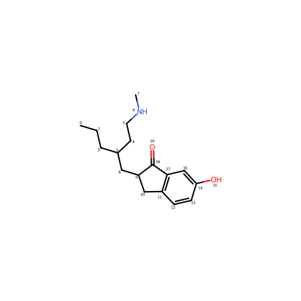 CCCC(CCNC)CC1Cc2ccc(O)cc2C1=O